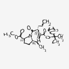 C=CC[C@H](NC(=O)OC(C)(C)C)C(=O)N1[C@@H](C=C)CC[C@H]1C(=O)OC